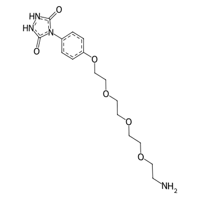 NCCOCCOCCOCCOc1ccc(-n2c(=O)[nH][nH]c2=O)cc1